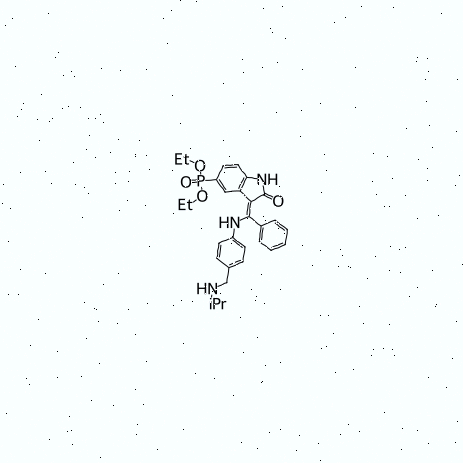 CCOP(=O)(OCC)c1ccc2c(c1)C(=C(Nc1ccc(CNC(C)C)cc1)c1ccccc1)C(=O)N2